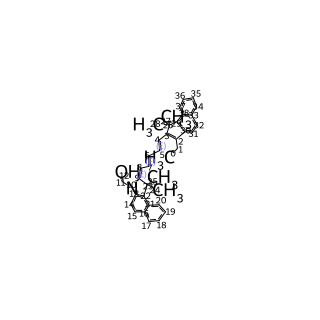 CCC1=C(/C=C/C=C/C=C2/N(CO)c3ccc4ccccc4c3C2(C)C)C(C)(C)c2c1ccc1ccccc21